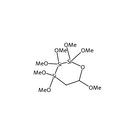 COC1C[Si](OC)(OC)[Si](OC)(OC)[Si](OC)(OC)O1